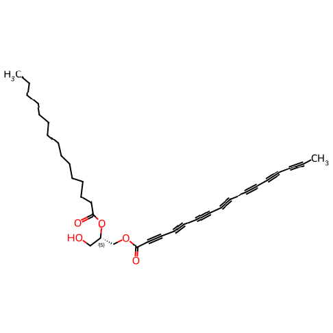 CC#CC#CC#CC#CC#CC#CC#CC(=O)OC[C@H](CO)OC(=O)CCCCCCCCCCCCCC